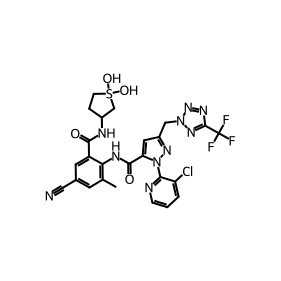 Cc1cc(C#N)cc(C(=O)NC2CCS(O)(O)C2)c1NC(=O)c1cc(Cn2nnc(C(F)(F)F)n2)nn1-c1ncccc1Cl